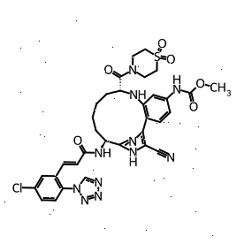 COC(=O)Nc1ccc2c(c1)N[C@@H](C(=O)N1CCS(=O)(=O)CC1)CCCC[C@H](NC(=O)/C=C/c1cc(Cl)ccc1-n1cnnn1)c1nc-2c(C#N)[nH]1